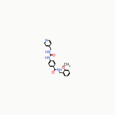 COc1ccccc1CNC(=O)c1ccc(NC(=O)NCc2ccncc2)cc1